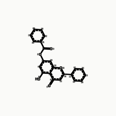 O=C(Oc1cc(O)c2c(=O)cc(-c3ccccc3)oc2c1)c1ccccc1